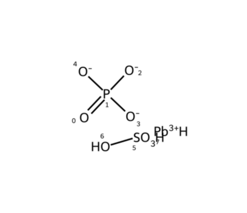 O=P([O-])([O-])[O-].O=S(=O)(O)O.[PbH+3]